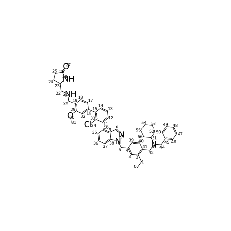 CCc1cc(Cn2ncc3c(-c4cccc(-c5ccc(CNCC6CCC(=O)N6)c(OC)c5)c4Cl)cccc32)ccc1CN(Cc1ccccc1)C1CCCCC1